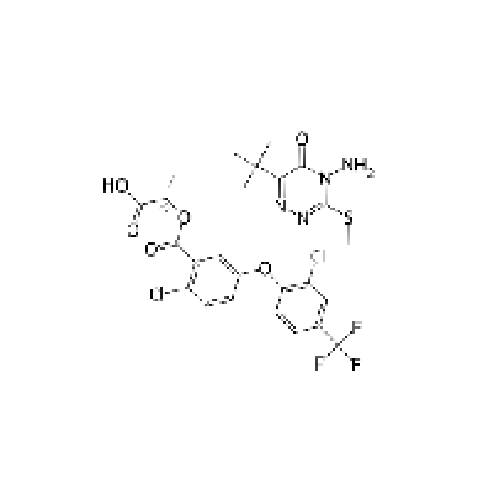 CSc1nnc(C(C)(C)C)c(=O)n1N.C[C@H](OC(=O)c1cc(Oc2ccc(C(F)(F)F)cc2Cl)ccc1Cl)C(=O)O